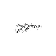 CCCc1c(C)ccc2nc(CC(=O)OCC)ccc12